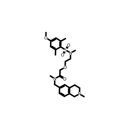 COc1cc(C)c(S(=O)(=O)N(C)CCOCC(=O)N(C)Cc2ccc3c(c2)CCN(C)C3)c(C)c1